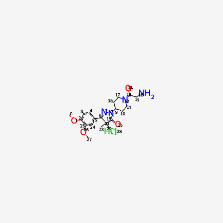 COc1ccc(C2=NN(C3CCN(C(=O)CN)CC3)C(=O)C2(C)C)cc1OC.Cl